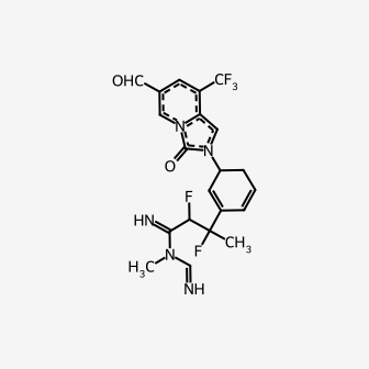 CN(C=N)C(=N)C(F)C(C)(F)C1=CC(n2cc3c(C(F)(F)F)cc(C=O)cn3c2=O)CC=C1